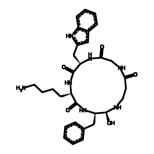 NCCCC[C@@H]1NC(=O)[C@H](Cc2cc3ccccc3[nH]2)NC(=O)CNC(=O)CCN[C@@H](O)[C@H](Cc2ccccc2)NC1=O